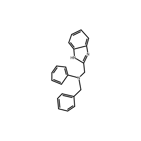 c1ccc(CN(Cc2nc3ccccc3[nH]2)c2ccccc2)cc1